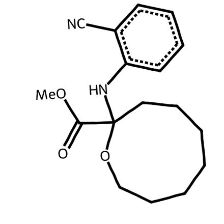 COC(=O)C1(Nc2ccccc2C#N)CCCCCCCO1